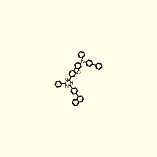 c1ccc(-c2ccc(N(c3ccccc3)c3ccc4c(c3)oc3cc(-c5nc(-c6ccccc6)nc(-c6ccc(-c7cccc8ccccc78)cc6)n5)ccc34)cc2)cc1